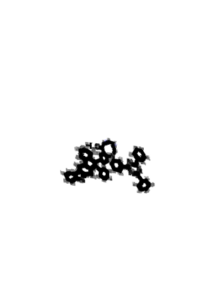 C=C1/C=C\C=C/CN(c2cccc(-c3nc(-c4ccccc4)nc(-c4ccccc4)n3)c2)c2ccc(-c3c(-c4ccccc4)c4cc5sc6ccccc6c5cc4c4ccccc34)cc21